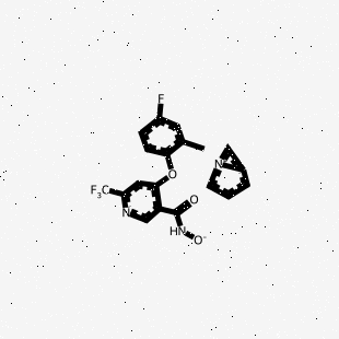 Cc1cc(F)ccc1Oc1cc(C(F)(F)F)ncc1C(=O)N[O-].c1cc2c[n+]-2c1